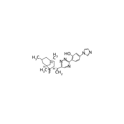 C=C(c1cnc(-c2ccc(-n3ccnc3)cc2O)nn1)[C@H]1C[C@]2(C)CC(C)C[C@@](C)(C2)[C@@H]1F